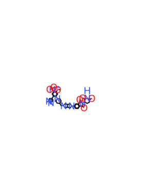 COc1cc(N2CCC(CN3CC4CN(c5ccc6c(c5)C(=O)N(C5CCC(=O)NC5=O)C6=O)CC4C3)CC2)c(-c2cnn(C)c2)cc1[N+](=O)[O-]